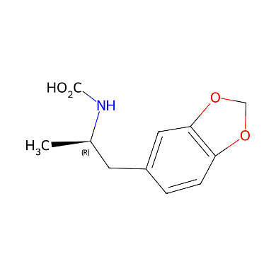 C[C@H](Cc1ccc2c(c1)OCO2)NC(=O)O